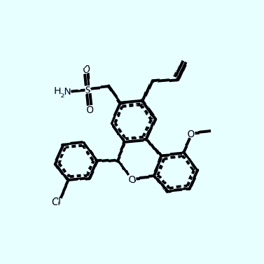 C=CCc1cc2c(cc1CS(N)(=O)=O)C(c1cccc(Cl)c1)Oc1cccc(OC)c1-2